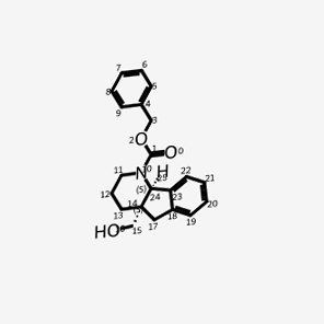 O=C(OCc1ccccc1)N1CCC[C@]2(CO)Cc3ccccc3[C@H]12